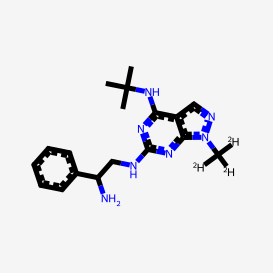 [2H]C([2H])([2H])n1ncc2c(NC(C)(C)C)nc(NCC(N)c3ccccc3)nc21